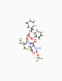 CC(C)(C)OC(=O)NC1C(=O)N2C(OC(=O)OC(c3ccccc3)c3ccccc3)=C(CCl)CS[C@@H]12